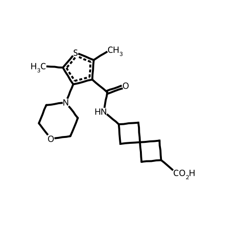 Cc1sc(C)c(N2CCOCC2)c1C(=O)NC1CC2(C1)CC(C(=O)O)C2